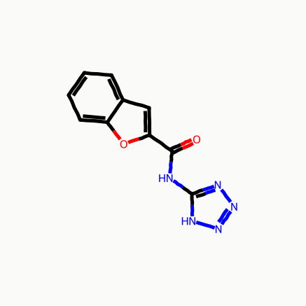 O=C(Nc1nnn[nH]1)c1cc2ccccc2o1